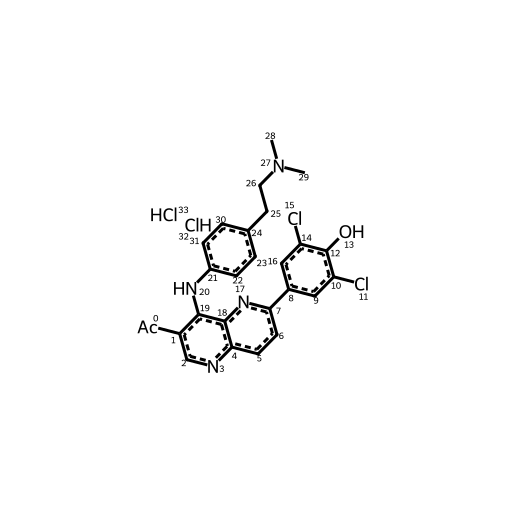 CC(=O)c1cnc2ccc(-c3cc(Cl)c(O)c(Cl)c3)nc2c1Nc1ccc(CCN(C)C)cc1.Cl.Cl